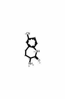 N#Cc1ccc2c(c1)CCC(N)C(=O)N2